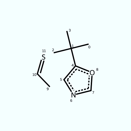 CC(C)(C)c1cnco1.CC=S